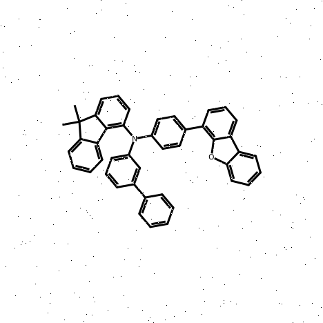 CC1(C)c2ccccc2-c2c(N(c3ccc(-c4cccc5c4oc4ccccc45)cc3)c3cccc(-c4ccccc4)c3)cccc21